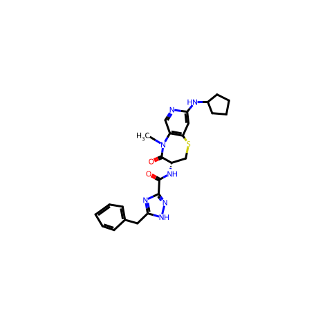 CN1C(=O)[C@@H](NC(=O)c2n[nH]c(Cc3ccccc3)n2)CSc2cc(NC3CCCC3)ncc21